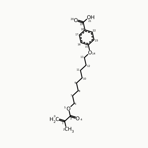 C=C(C)C(=O)OCCCCCCCCOc1ccc(C(=O)O)cc1